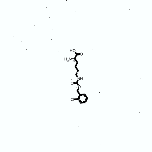 N[C@H](CCCCNC(=O)OCc1ccccc1Cl)C(=O)O